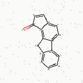 O=C1C=Cc2ccc3c(c21)Cc1ccccc1-3